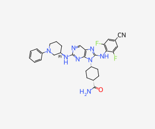 N#Cc1cc(F)c(Nc2nc3cnc(N[C@@H]4CCCN(c5ccccc5)C4)nc3n2[C@H]2CC[C@@H](C(N)=O)CC2)c(F)c1